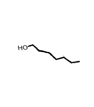 CC[CH]CCCCO